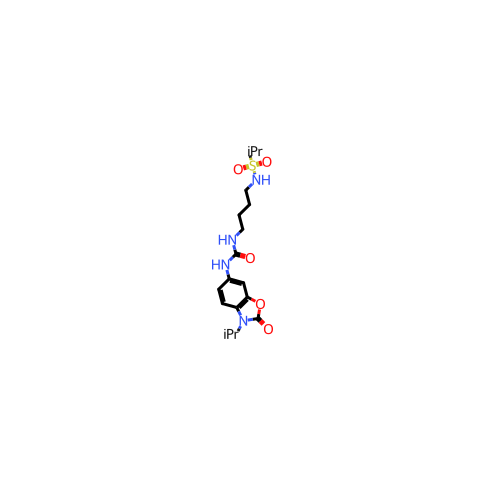 CC(C)n1c(=O)oc2cc(NC(=O)NCCCCNS(=O)(=O)C(C)C)ccc21